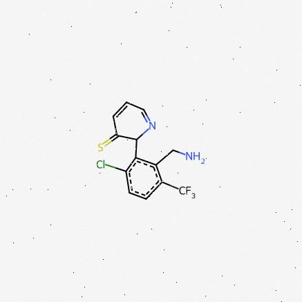 NCc1c(C(F)(F)F)ccc(Cl)c1C1N=CC=CC1=S